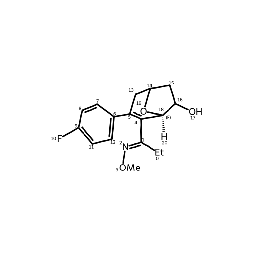 CCC(=NOC)C1=C(c2ccc(F)cc2)CC2CC(O)[C@@H]1O2